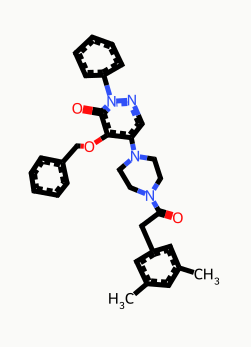 Cc1cc(C)cc(CC(=O)N2CCN(c3cnn(-c4ccccc4)c(=O)c3OCc3ccccc3)CC2)c1